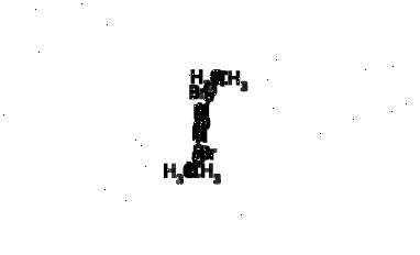 CN(C)CCCOc1ccc(CCn2cc(COCc3cn(CCc4ccc(OCCCN(C)C)c(Br)c4)nn3)nn2)cc1Br